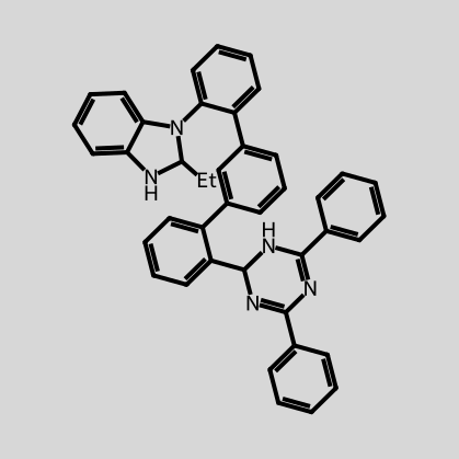 CCC1Nc2ccccc2N1c1ccccc1-c1cccc(-c2ccccc2C2N=C(c3ccccc3)N=C(c3ccccc3)N2)c1